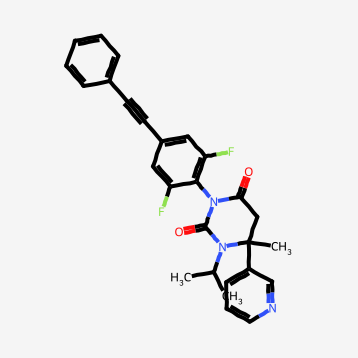 CC(C)N1C(=O)N(c2c(F)cc(C#Cc3ccccc3)cc2F)C(=O)CC1(C)c1cccnc1